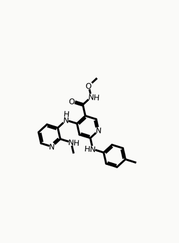 CNc1ncccc1Nc1cc(Nc2ccc(C)cc2)ncc1C(=O)NOC